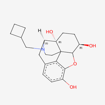 Oc1ccc2c3c1OC1[C@H](O)CC[C@]4(O)[C@H](C2)N(CC2CCC2)CCC314